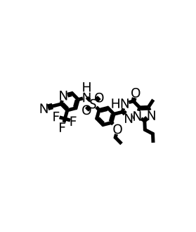 CCCc1nc(C)c2c(=O)[nH]c(-c3cc(S(=O)(=O)Nc4cnc(C#N)c(C(F)(F)F)c4)ccc3OCC)nn12